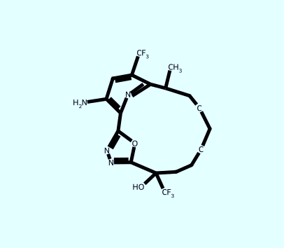 CC1CCCCCCC(O)(C(F)(F)F)c2nnc(o2)-c2nc1c(C(F)(F)F)cc2N